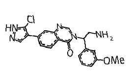 COc1cccc(C(CN)n2cnc3cc(-c4cn[nH]c4Cl)ccc3c2=O)c1